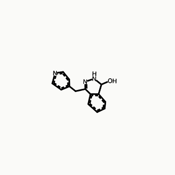 OC1NN=C(Cc2ccncc2)c2ccccc21